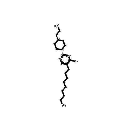 CCCCCCCCCc1cnc([C@H]2CC[C@H](CCC)CC2)nc1F